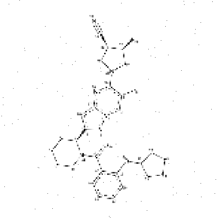 Cc1cn2nc([C@@H]3CCCCN3C(=O)c3ccccc3OC3CCCC3)cc2nc1N1C[C@@H](C#N)[C@@H](C)C1